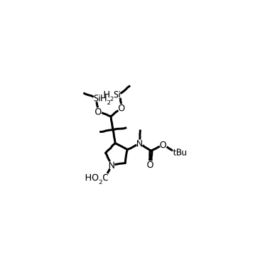 C[SiH2]OC(O[SiH2]C)C(C)(C)C1CN(C(=O)O)CC1N(C)C(=O)OC(C)(C)C